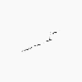 CCCCCCCCCCCCCCCCCCCC(C)CCCC(C)CCCCCC